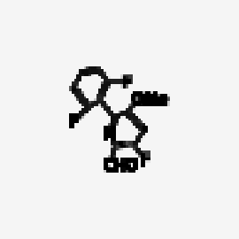 COc1cc(F)c(C=O)nc1-c1c(F)cccc1F